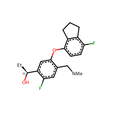 CC[C@H](O)c1cc(Oc2ccc(F)c3c2CCC3)c(CNC)cc1F